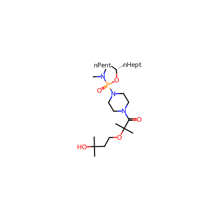 CCCCCCC[C@@H](CCCCC)OP(=O)(N(C)C)N1CCN(C(=O)C(C)(C)OCCC(C)(C)O)CC1